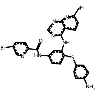 CC(C)c1ccc2c(Nc3cc(NC(=O)c4ccc(Br)cn4)ccc3Sc3ccc(N)cc3)ncnc2n1